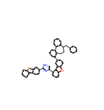 C=C(/N=C(\N)c1ccc2c(c1)sc1ccccc12)c1cccc2oc3ccc(-c4cccc5c4CCC(Cc4ccccc4)c4ccccc4-5)cc3c12